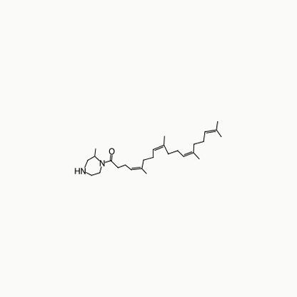 CC(C)=CCCC(C)=CCCC(C)=CCCC(C)=CCCC(=O)N1CCNCC1C